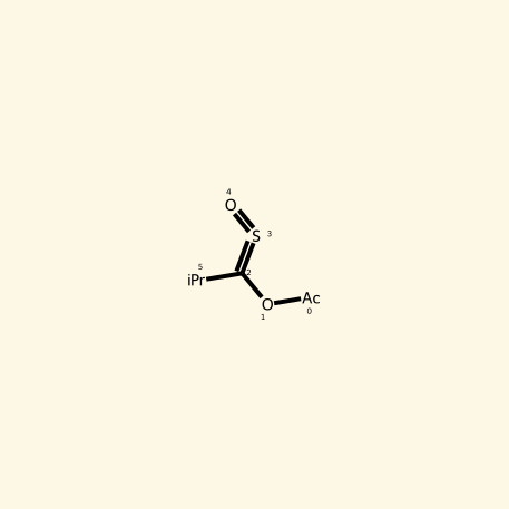 CC(=O)OC(=S=O)C(C)C